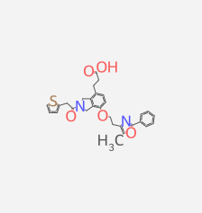 Cc1oc(-c2ccccc2)nc1CCOc1ccc(CCC(=O)O)c2c1CN(C(=O)Cc1cccs1)C2